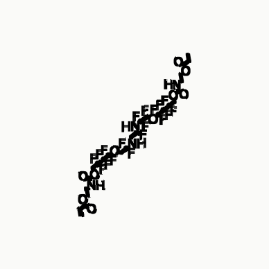 C=CC(=O)OCCNC(=O)OCC(F)(F)C(F)(F)C(F)(F)OCC(F)(F)NCC(F)NC(F)(F)C(F)OC(F)(F)C(F)(F)C(F)(F)COC(=O)NCCOC(=O)C=C